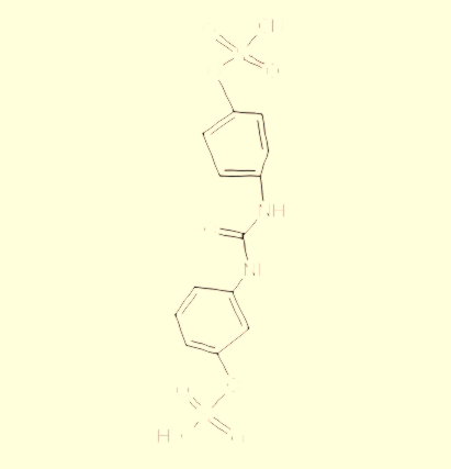 CS(=O)(=O)Oc1ccc(NC(=O)Nc2cccc(OS(C)(=O)=O)c2)cc1